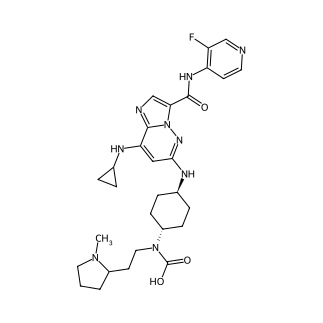 CN1CCCC1CCN(C(=O)O)[C@H]1CC[C@H](Nc2cc(NC3CC3)c3ncc(C(=O)Nc4ccncc4F)n3n2)CC1